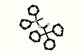 C[Si](OC(=O)C(c1ccccc1)(c1ccccc1)c1ccccc1)(c1ccccc1)c1ccccc1